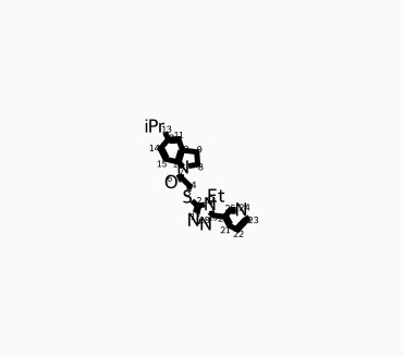 CCn1c(SCC(=O)N2CCc3cc(C(C)C)ccc32)nnc1-c1cccnc1